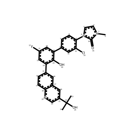 Cn1ccn(-c2ccc(-c3cc(F)cc(-c4ccc5ncc(C(C)(C)O)cc5c4)c3O)cc2Cl)c1=O